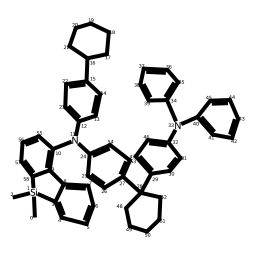 C[Si]1(C)c2ccccc2-c2c(N(c3ccc(C4CCCCC4)cc3)c3ccc(C4(c5ccc(N(c6ccccc6)c6ccccc6)cc5)CCCCC4)cc3)cccc21